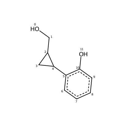 OCC1CC1c1ccccc1O